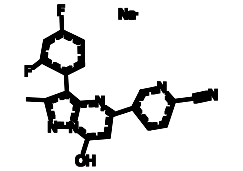 Cc1nn2c(O)cc(-c3ccc(C#N)nc3)nc2c1-c1ccc(F)cc1F.[Na]